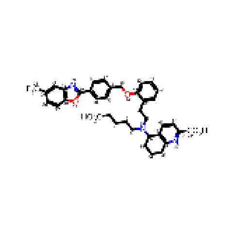 O=C(O)CCCCN(CCc1ccccc1OCc1ccc(-c2nc3cc(C(F)(F)F)ccc3o2)cc1)C1CCCc2nc(C(=O)O)ccc21